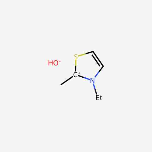 CCn1ccs[c+]1C.[OH-]